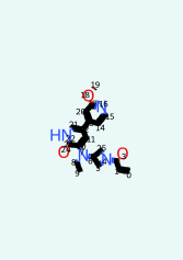 C=CC(=O)N1CC(N(CC)c2cc(-c3ccnc(OC)c3)c[nH]c2=O)C1